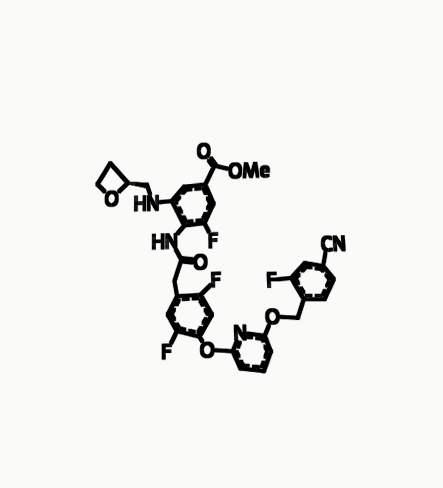 COC(=O)c1cc(F)c(NC(=O)Cc2cc(F)c(Oc3cccc(OCc4ccc(C#N)cc4F)n3)cc2F)c(NC[C@@H]2CCO2)c1